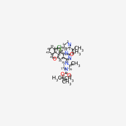 Cc1ccnc(C(C)C)c1-n1c(=O)nc(N2CCN(C(=O)OC(C)(C)C)C[C@@H]2C)c2cc3c(c(F)c21)-c1c(Cl)cccc1CO3